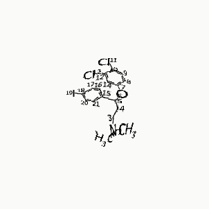 CN(C)CCC(Oc1ccc(Cl)c(Cl)c1)c1ccc(I)cc1